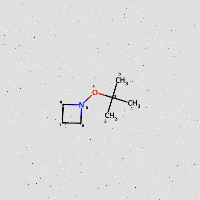 CC(C)(C)ON1CCC1